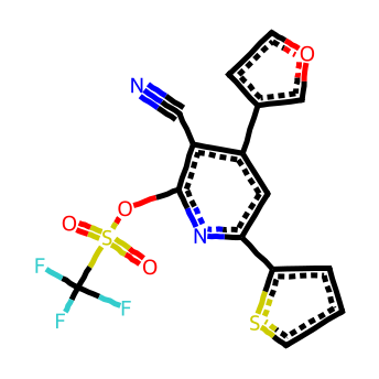 N#Cc1c(-c2ccoc2)cc(-c2cccs2)nc1OS(=O)(=O)C(F)(F)F